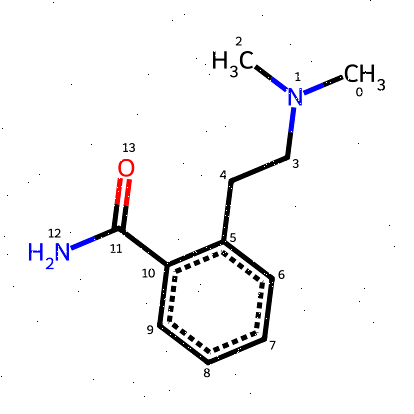 CN(C)CCc1ccccc1C(N)=O